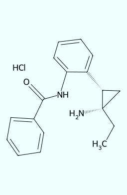 CC[C@]1(N)C[C@H]1c1ccccc1NC(=O)c1ccccc1.Cl